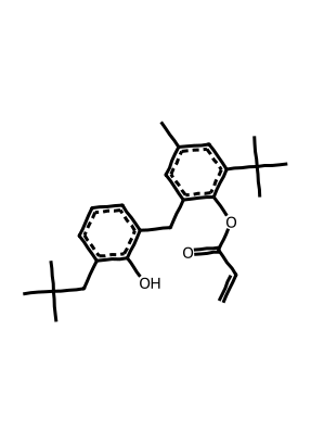 C=CC(=O)Oc1c(Cc2cccc(CC(C)(C)C)c2O)cc(C)cc1C(C)(C)C